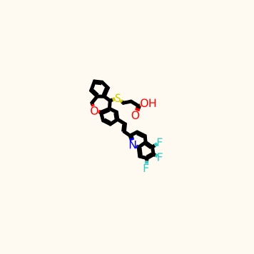 O=C(O)CCSC1c2ccccc2COc2ccc(C=Cc3ccc4c(F)c(F)c(F)cc4n3)cc21